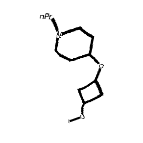 CCCN1CCC(OC2CC(OI)C2)CC1